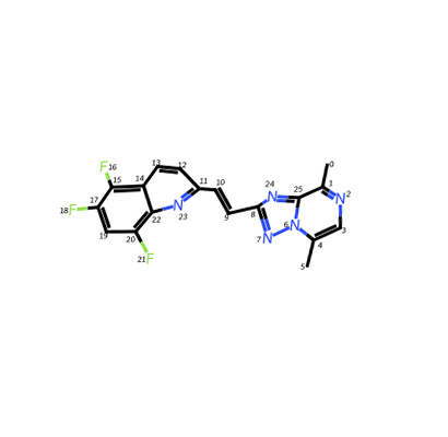 Cc1ncc(C)n2nc(C=Cc3ccc4c(F)c(F)cc(F)c4n3)nc12